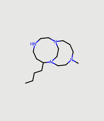 CCCCC1CCNCCN2CCCN(C)CCN1CC2